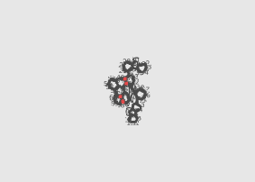 CC1(c2ccc3c(c2)oc2ccccc23)C=CC=CC1N(c1ccc(-c2cccc3sc4ccccc4c23)cc1)c1ccccc1-c1cccc2cccc(-c3ccccc3)c12